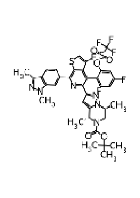 Cc1nn(C)c2cc(-c3nc(-c4cc5n(n4)[C@@H](C)CN(C(=O)OC(C)(C)C)[C@@H]5C)c(-c4c(F)cc(F)cc4OS(=O)(=O)C(F)(F)F)c4c(F)csc34)ccc12